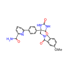 COc1ccc2c(c1)C(=O)N(C[C@@]1(c3ccc(-c4cccc(C(N)=O)n4)cc3)NC(=O)NC1=O)C2